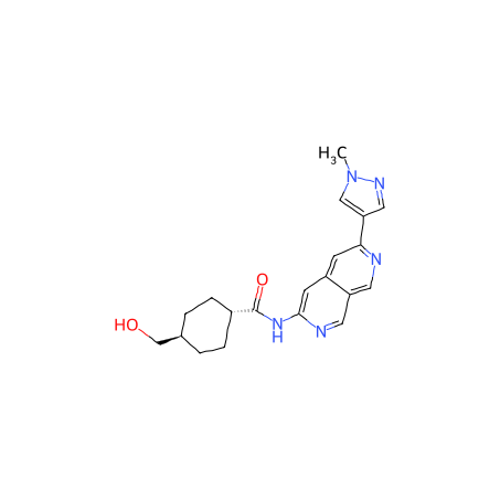 Cn1cc(-c2cc3cc(NC(=O)[C@H]4CC[C@H](CO)CC4)ncc3cn2)cn1